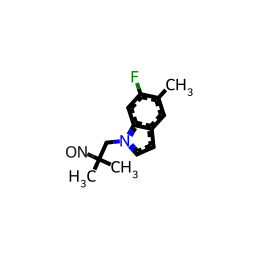 Cc1cc2ccn(CC(C)(C)N=O)c2cc1F